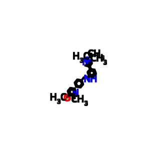 COc1ccc([C@H]2CC[C@H](CNc3cccc(-c4cnn(C(C)(C)C)c4)c3)CC2)nc1C